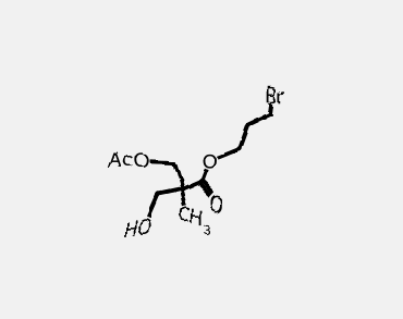 CC(=O)OCC(C)(CO)C(=O)OCCCBr